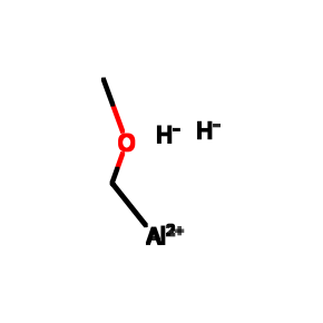 CO[CH2][Al+2].[H-].[H-]